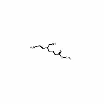 CCC[C@@H](CO)CCCC(=O)OC